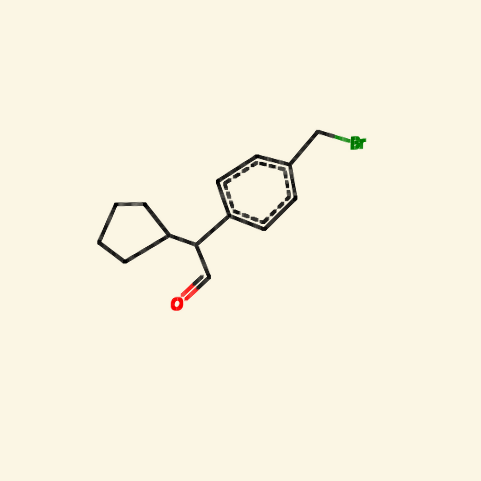 O=CC(c1ccc(CBr)cc1)C1CCCC1